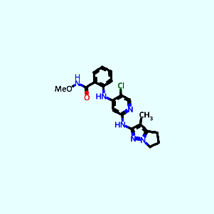 CONC(=O)c1ccccc1Nc1cc(Nc2nn3c(c2C)CCC3)ncc1Cl